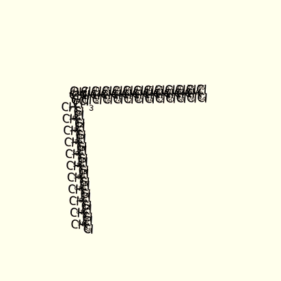 ClC(Cl)Cl.ClC(Cl)Cl.ClC(Cl)Cl.ClC(Cl)Cl.ClC(Cl)Cl.ClC(Cl)Cl.ClC(Cl)Cl.ClC(Cl)Cl.ClC(Cl)Cl.ClC(Cl)Cl.ClC(Cl)Cl.ClC(Cl)Cl.ClC(Cl)Cl.ClC(Cl)Cl.ClC(Cl)Cl.ClC(Cl)Cl.ClC(Cl)Cl.ClC(Cl)Cl.ClC(Cl)Cl.ClC(Cl)Cl.ClC(Cl)Cl.ClC(Cl)Cl.ClC(Cl)Cl.OCC(Cl)(Cl)Cl